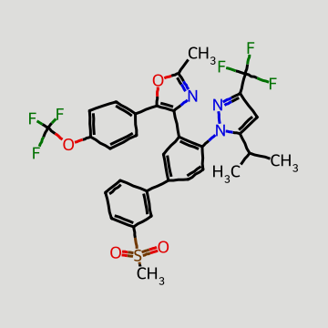 Cc1nc(-c2cc(-c3cccc(S(C)(=O)=O)c3)ccc2-n2nc(C(F)(F)F)cc2C(C)C)c(-c2ccc(OC(F)(F)F)cc2)o1